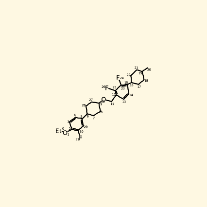 CCOc1ccc(C2CCC(OCc3ccc(C4CCC(C)CC4)c(F)c3F)CC2)cc1F